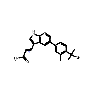 Cc1cc(-c2cnc3[nH]cc(/C=C/C(N)=O)c3c2)ccc1C(C)(C)O